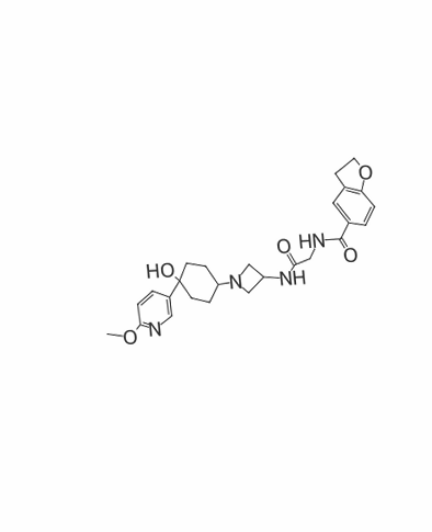 COc1ccc(C2(O)CCC(N3CC(NC(=O)CNC(=O)c4ccc5c(c4)CCO5)C3)CC2)cn1